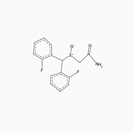 NC(=O)C[S+]([O-])C(c1ccccc1F)c1ccccc1F